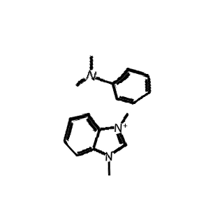 CN(C)c1ccccc1.Cn1c[n+](C)c2ccccc21